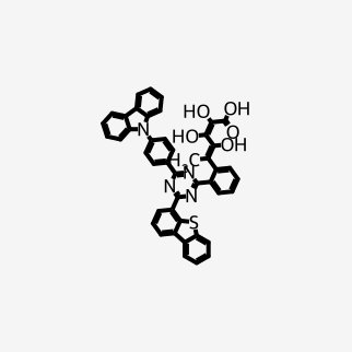 C/C(=C(O)\C(O)=C(\O)C(=O)O)c1ccccc1-c1nc(-c2ccc(-n3c4ccccc4c4ccccc43)cc2)nc(-c2cccc3c2sc2ccccc23)n1